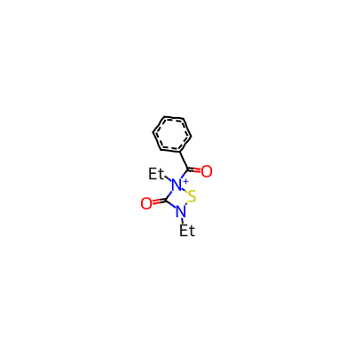 CCN1S[N+](CC)(C(=O)c2ccccc2)C1=O